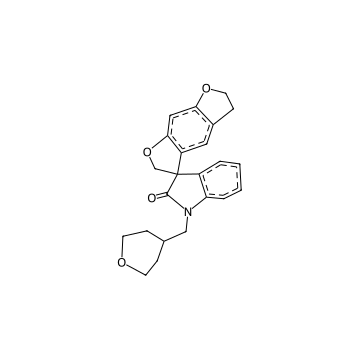 O=C1N(CC2CCOCC2)c2ccccc2C12COc1cc3c(cc12)CCO3